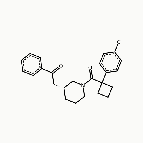 O=C(C[C@H]1CCCN(C(=O)C2(c3ccc(Cl)cc3)CCC2)C1)c1ccccc1